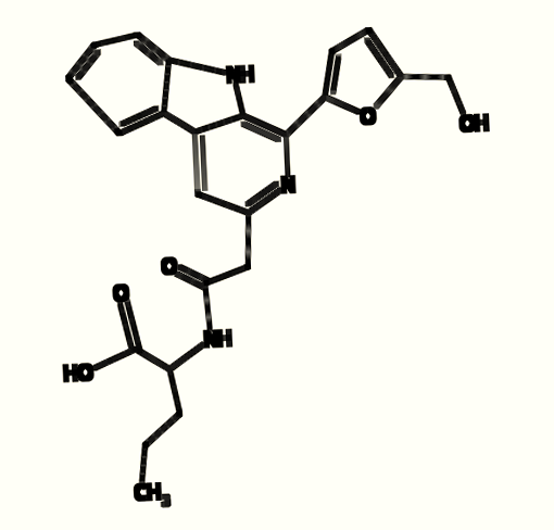 CCCC(NC(=O)Cc1cc2c([nH]c3ccccc32)c(-c2ccc(CO)o2)n1)C(=O)O